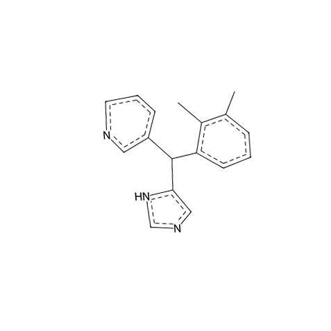 Cc1cccc(C(c2cccnc2)c2cnc[nH]2)c1C